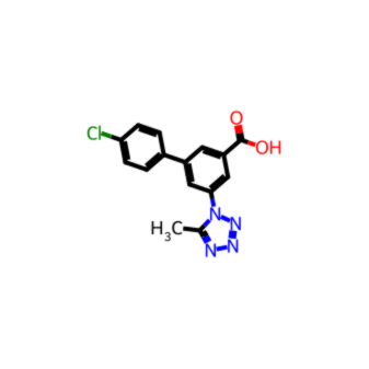 Cc1nnnn1-c1cc(C(=O)O)cc(-c2ccc(Cl)cc2)c1